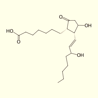 CCCCCC(O)/C=C/[C@H]1C(O)CC(=O)[C@H]1CCCCCCC(=O)O